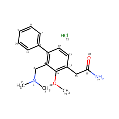 CN(C)Cc1c(-c2ccccc2)ccc(CC(N)=O)c1OC(F)(F)F.Cl